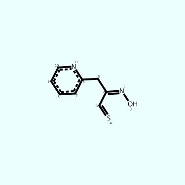 O/N=C(\[C]=S)Cc1ccccn1